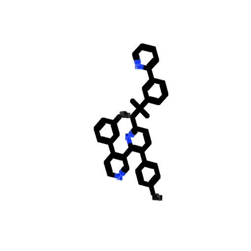 CC(C)(C)c1ccc(-c2ccc(CC(C)(C)c3cccc(-c4ccccn4)c3)nc2-c2cnccc2-c2cccc(C(C)(C)C)c2)cc1